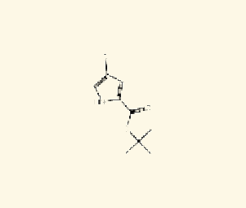 CC(C)(C)OC(=O)c1cc([O])c[nH]1